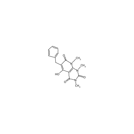 Cn1c(=O)c2c(O)c(Cc3ccccc3)c(=O)n(C)c2n(C)c1=O